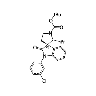 CC(C)C1N(C(=O)OC(C)(C)C)CC[C@@]12C(=O)N(c1cccc(Cl)c1)c1ccccc12